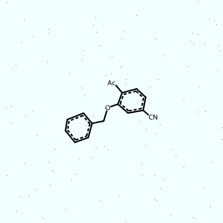 CC(=O)c1ccc(C#N)cc1OCc1ccccc1